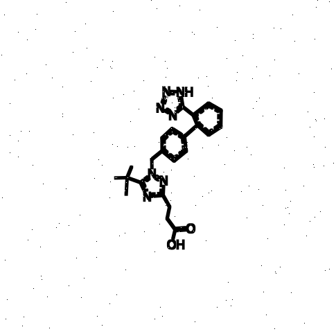 CC(C)(C)c1nc(CCC(=O)O)nn1Cc1ccc(-c2ccccc2-c2nnn[nH]2)cc1